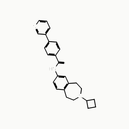 O=C(Nc1ccc2c(c1)CCN(C1CCC1)CC2)c1ccc(-c2cccnc2)cc1